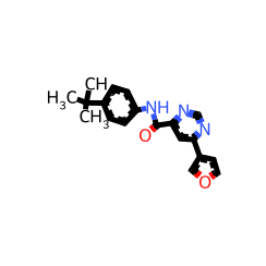 CC(C)(C)c1ccc(NC(=O)c2cc(-c3ccoc3)ncn2)cc1